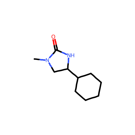 CN1CC(C2CCCCC2)NC1=O